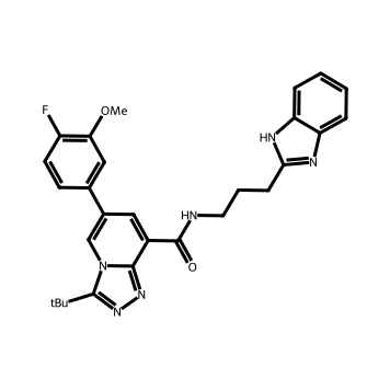 COc1cc(-c2cc(C(=O)NCCCc3nc4ccccc4[nH]3)c3nnc(C(C)(C)C)n3c2)ccc1F